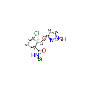 O=C(NBr)c1cccc(Cl)c1COc1ccn(S)n1